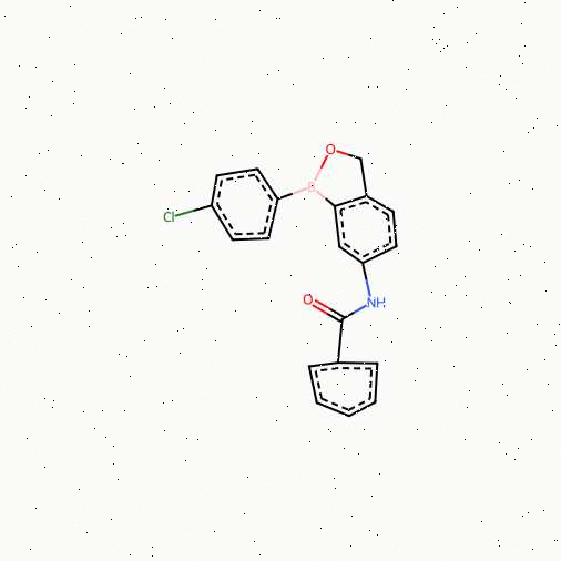 O=C(Nc1ccc2c(c1)B(c1ccc(Cl)cc1)OC2)c1ccccc1